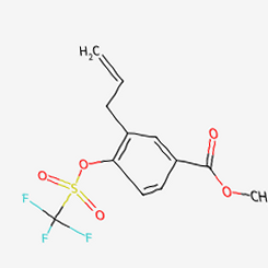 C=CCc1cc(C(=O)OC)ccc1OS(=O)(=O)C(F)(F)F